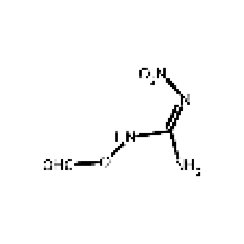 NC(=N[N+](=O)[O-])NOC=O